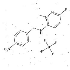 C[n+]1nc(F)ccc1NCc1ccc([N+](=O)[O-])cc1.F[B-](F)(F)F